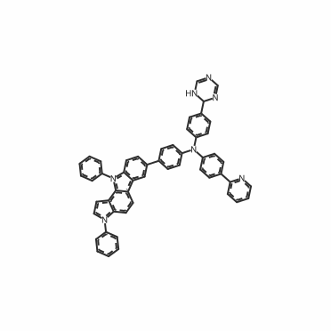 C1=NC=NC(c2ccc(N(c3ccc(-c4ccc5c(c4)c4ccc6c(ccn6-c6ccccc6)c4n5-c4ccccc4)cc3)c3ccc(-c4ccccn4)cc3)cc2)N1